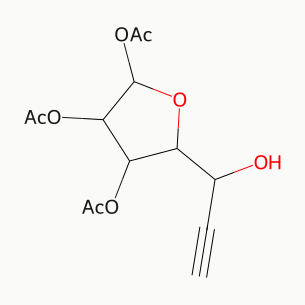 C#CC(O)C1OC(OC(C)=O)C(OC(C)=O)C1OC(C)=O